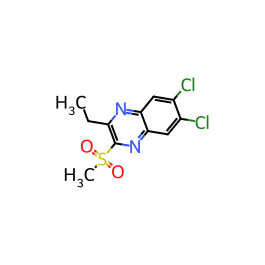 CCc1nc2cc(Cl)c(Cl)cc2nc1S(C)(=O)=O